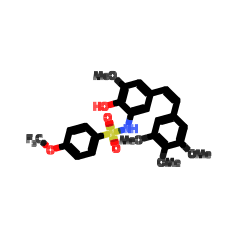 COc1cc(/C=C\c2cc(OC)c(OC)c(OC)c2)cc(NS(=O)(=O)c2ccc(OC(F)(F)F)cc2)c1O